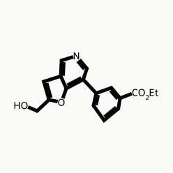 CCOC(=O)c1cccc(-c2cncc3cc(CO)oc23)c1